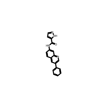 O=C(Nc1ccc2cc(-c3ccccc3)cnc2c1)c1ccn[nH]1